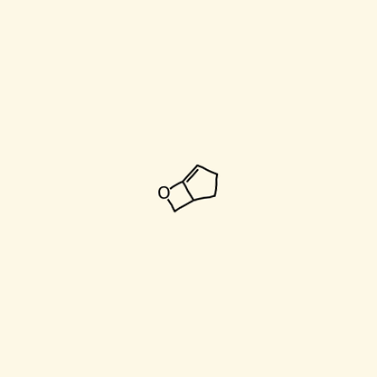 C1=C2OCC2CC1